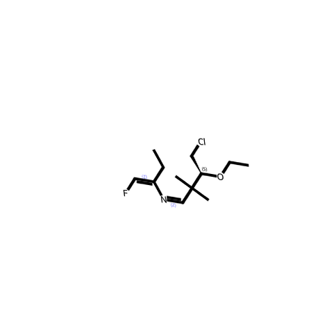 CCO[C@H](CCl)C(C)(C)/C=N\C(=C/F)CC